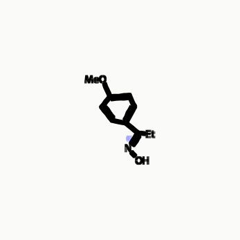 CC/C(=N\O)c1ccc(OC)cc1